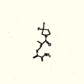 C=C(N)C(=C)S/C=C(\C)C(=O)N1CCC(F)(F)C1